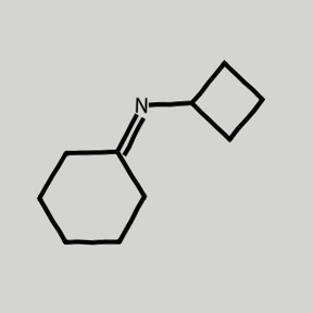 C1CCC(=NC2CCC2)CC1